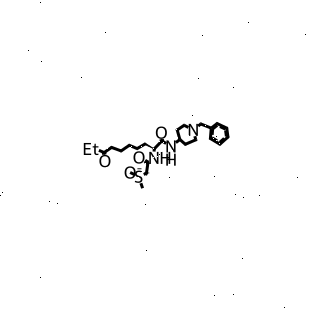 CCC(=O)CCCCC[C@H](NC(=O)C[S+](C)[O-])C(=O)NC1CCN(Cc2ccccc2)CC1